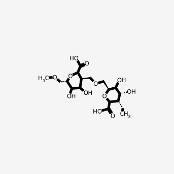 CC[C@@H]1C(C(=O)O)O[C@@H](COC[C@@H]2C(C(=O)O)O[C@@H](COC)C(O)C2O)C(O)[C@@H]1O